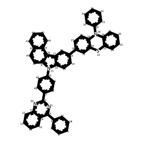 c1ccc(-c2nc(-c3ccc(-n4c5ccc(-c6ccc7c(c6)Sc6ccccc6N7c6ccccc6)cc5c5c6ccccc6ccc54)cc3)nc3ccccc23)cc1